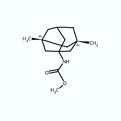 COC(=O)NC12CC3C[C@@](C)(C1)C[C@](C)(C3)C2